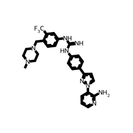 CN1CCN(Cc2ccc(NC(=N)Nc3ccc(-c4ccn(-c5cccnc5N)n4)cc3)cc2C(F)(F)F)CC1